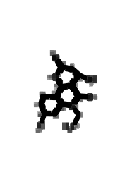 CCn1c(=O)c2c(O)cc(=O)oc2c2ccc(Cl)cc21